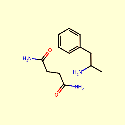 CC(N)Cc1ccccc1.NC(=O)CCC(N)=O